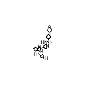 CN1CCN(c2ccc(C(=O)Nc3cc(-c4nc(NC5CCNC5)c5sccc5n4)ccn3)cc2)CC1